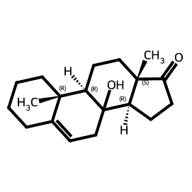 C[C@]12CCCCC1=CCC1(O)[C@@H]2CC[C@]2(C)C(=O)CC[C@@H]12